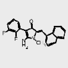 CN1C(=Cc2cccc3ccccc23)C(=O)C(c2cccc(F)c2F)=C1N